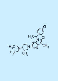 CCN(CC)C1CCN(c2cnc3c(C)nn(C(C)c4ccc(Cl)cc4Cl)c3n2)CC1C